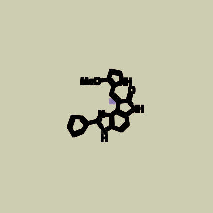 COc1cc[nH]c1/C=C1\C(=O)Nc2ccc3[nH]c(-c4ccccc4)nc3c21